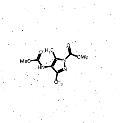 COC(=O)Nc1c(C)nn(C(=O)OC)c1C